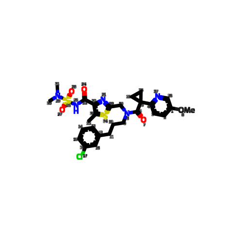 COc1ccc(C2(C(=O)N(CCCc3cccc(Cl)c3)Cc3nc(C(=O)NS(=O)(=O)N(C)C)c(C)s3)CC2)nc1